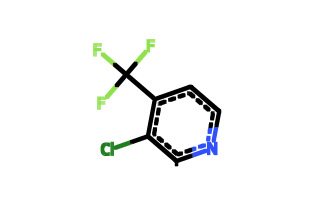 FC(F)(F)c1ccn[c]c1Cl